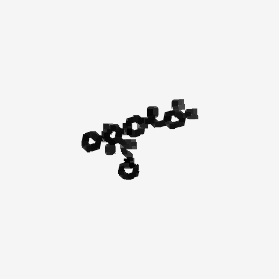 O=C(Cc1ccc(Cl)c(Cl)c1)N1CCN(c2cnn(-c3ccccc3)c(=O)c2NCCN2CCCCC2)CC1